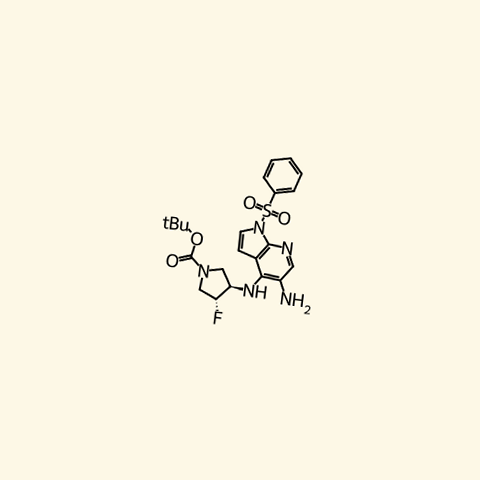 CC(C)(C)OC(=O)N1C[C@@H](F)[C@H](Nc2c(N)cnc3c2ccn3S(=O)(=O)c2ccccc2)C1